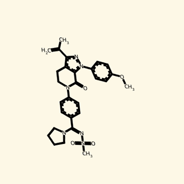 C=C(C)c1nn(-c2ccc(OC)cc2)c2c1CCN(c1ccc(C(=NS(C)(=O)=O)N3CCCC3)cc1)C2=O